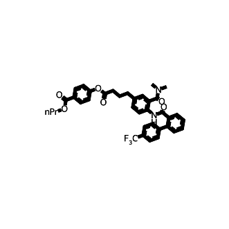 CCCOC(=O)c1ccc(OC(=O)CCCc2ccc(NC(=O)c3ccccc3-c3ccc(C(F)(F)F)cc3)c(C(=O)N(C)C)c2)cc1